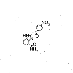 NC(=O)c1cccc2[nH]c(C[S+]([O-])c3ccc([N+](=O)[O-])cc3)nc12